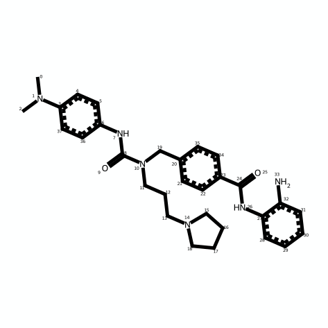 CN(C)c1ccc(NC(=O)N(CCCN2CCCC2)Cc2ccc(C(=O)Nc3ccccc3N)cc2)cc1